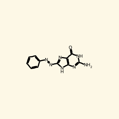 Nc1nc2[nH]c(/N=N/c3ccccc3)nc2c(=O)[nH]1